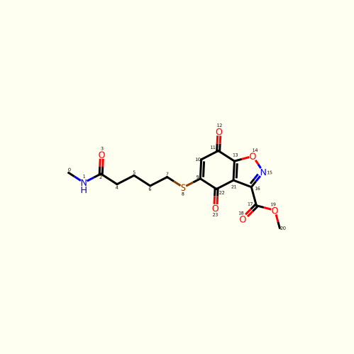 CNC(=O)CCCCSC1=CC(=O)c2onc(C(=O)OC)c2C1=O